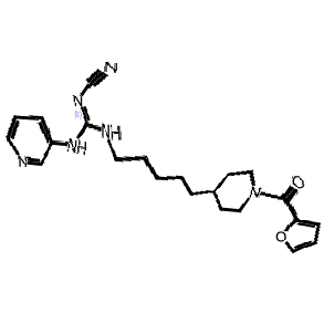 N#C/N=C(\NCCCCCC1CCN(C(=O)c2ccco2)CC1)Nc1cccnc1